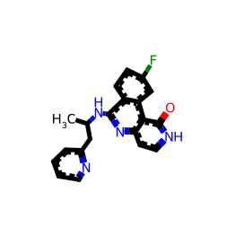 CC(Cc1ccccn1)Nc1nc2cc[nH]c(=O)c2c2cc(F)ccc12